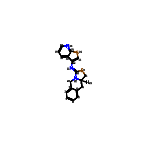 c1ccc2c(c1)C[C@H]1CSC(=Nc3csc4ncccc34)N1C2